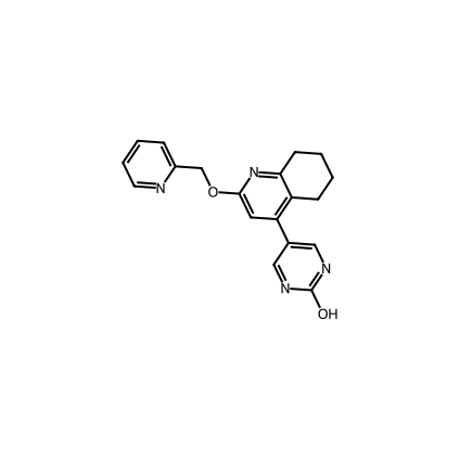 Oc1ncc(-c2cc(OCc3ccccn3)nc3c2CCCC3)cn1